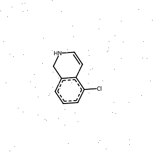 Clc1cccc2c1C=CNC2